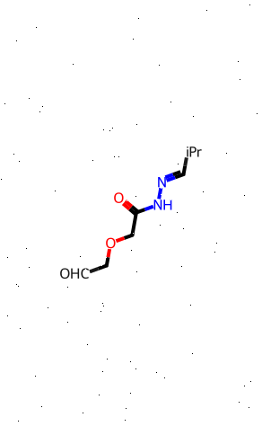 CC(C)/C=N/NC(=O)COCC=O